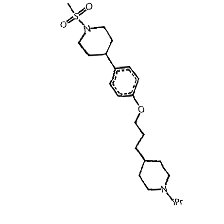 CC(C)N1CCC(CCCOc2ccc(C3CCN(S(C)(=O)=O)CC3)cc2)CC1